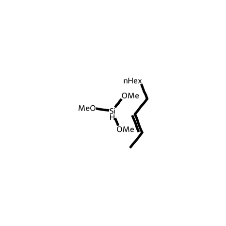 CC=CCCCCCCC.CO[SiH](OC)OC